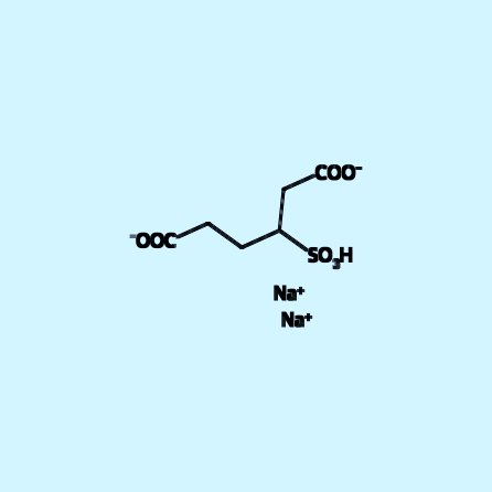 O=C([O-])CCC(CC(=O)[O-])S(=O)(=O)O.[Na+].[Na+]